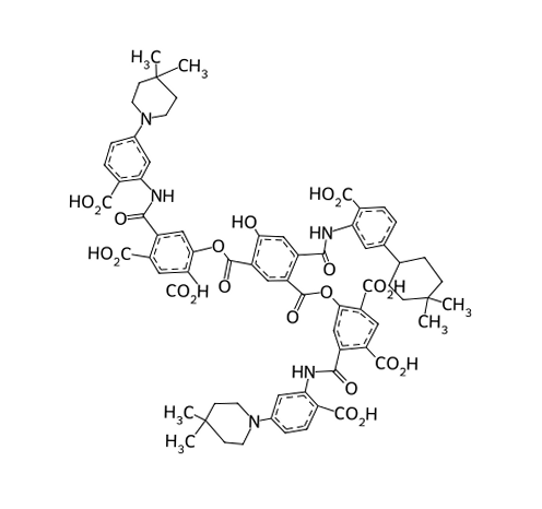 CC1(C)CCC(c2ccc(C(=O)O)c(NC(=O)c3cc(O)c(C(=O)Oc4cc(C(=O)Nc5cc(N6CCC(C)(C)CC6)ccc5C(=O)O)c(C(=O)O)cc4C(=O)O)cc3C(=O)Oc3cc(C(=O)Nc4cc(N5CCC(C)(C)CC5)ccc4C(=O)O)c(C(=O)O)cc3C(=O)O)c2)CC1